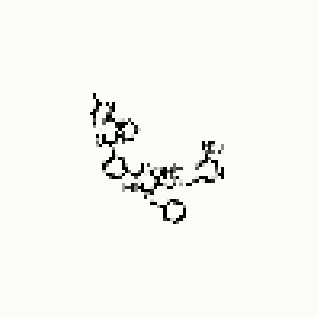 Cc1coc([C@H]2CCCN2C(=O)c2cccc(C(=O)N[C@@H](Cc3ccccc3)[C@H](O)CNCc3cncc(C(C)(C)C)c3)c2)n1